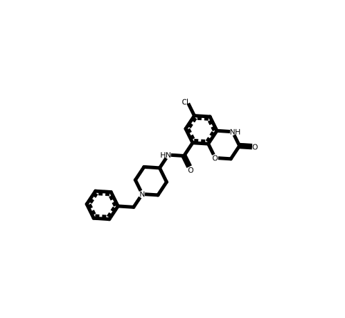 O=C1COc2c(cc(Cl)cc2C(=O)NC2CCN(Cc3ccccc3)CC2)N1